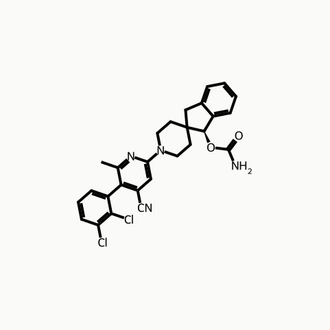 Cc1nc(N2CCC3(CC2)Cc2ccccc2[C@H]3OC(N)=O)cc(C#N)c1-c1cccc(Cl)c1Cl